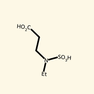 CCN(CCC(=O)O)S(=O)(=O)O